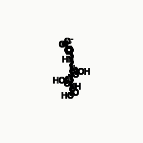 O=C(O)CNCCN(CCN(CCNCc1ccc([N+](=O)[O-])cc1)CC(=O)O)CC(=O)O